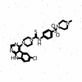 CN1CCN(S(=O)(=O)c2ccc(NC(=S)N3CCN(c4ncnc5[nH]c6ccc(Cl)cc6c45)CC3)cc2)CC1